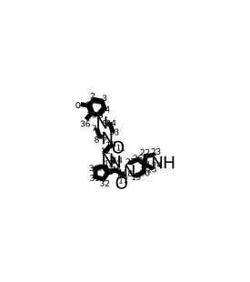 Cc1cccc(N2CCN(C(=O)Cn3nc(C(=O)N4CCC5(CCNC5)CC4)c4c3CCC4)CC2)c1C